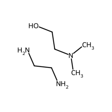 CN(C)CCO.NCCN